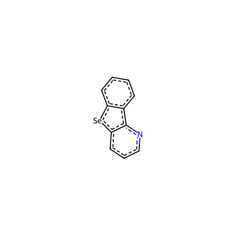 c1ccc2c(c1)[se]c1cccnc12